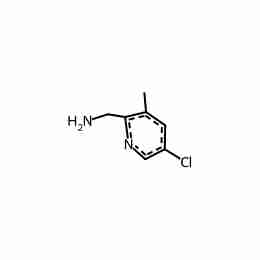 Cc1cc(Cl)cnc1CN